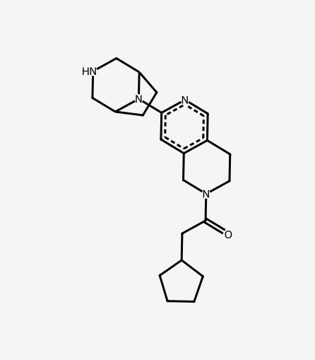 O=C(CC1CCCC1)N1CCc2cnc(N3C4CCC3CNC4)cc2C1